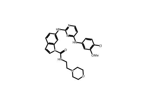 COc1cc(Nc2ccnc(Nc3ccc4ccn(C(=O)NCCN5CCOCC5)c4c3)n2)ccc1Cl